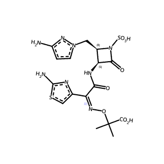 CC(C)(O/N=C(\C(=O)N[C@@H]1C(=O)N(S(=O)(=O)O)[C@@H]1Cn1ccc(N)n1)c1csc(N)n1)C(=O)O